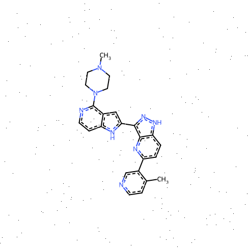 Cc1ccncc1-c1ccc2[nH]nc(-c3cc4c(N5CCN(C)CC5)nccc4[nH]3)c2n1